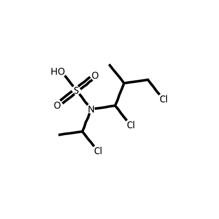 CC(CCl)C(Cl)N(C(C)Cl)S(=O)(=O)O